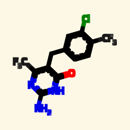 Nc1nc(C(F)(F)F)c(Cc2ccc(C(F)(F)F)c(Cl)c2)c(=O)[nH]1